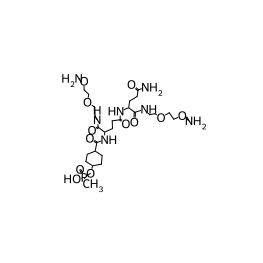 CP(=O)(O)OC1CCC(C(=O)NC(CCC(=O)NC(CCC(N)=O)C(=O)NCCOCCON)C(=O)NCCOCCON)CC1